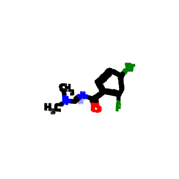 CN(C)/C=N/C(=O)c1ccc(Br)cc1F